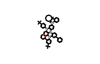 Cc1cc2c3c(c1)N(c1ccc(C(C)(C)C)cc1-c1ccccc1)c1cc(-c4ccccc4)ccc1B3c1ccc(N3c4ccccc4C4(C)CCCCCCC34C)cc1N2c1ccc(C(C)(C)C)cc1